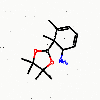 CC1=CC=CC(N)C1(C)B1OC(C)(C)C(C)(C)O1